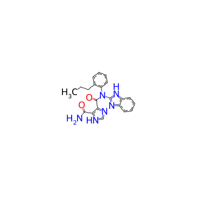 CCCc1ccccc1N(C(=O)c1nc[nH]c1C(N)=O)c1nc2ccccc2[nH]1